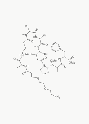 CCC(C)C(C(CC(=O)N1CCC[C@H]1C(OC)C(C)C(=O)NC(Cc1ccccc1)C(=O)OC)OC)N(C)C(=O)C(NC(=O)C(C(C)C)N(C)C(=O)CCCNC(=O)C(C)NC(=O)CCOCCOCCN)C(C)C